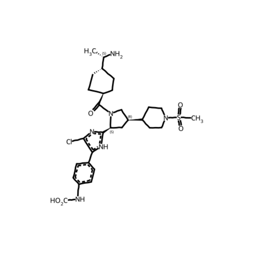 C[C@H](N)[C@H]1CC[C@H](C(=O)N2C[C@@H](C3CCN(S(C)(=O)=O)CC3)C[C@H]2c2nc(Cl)c(-c3ccc(NC(=O)O)cc3)[nH]2)CC1